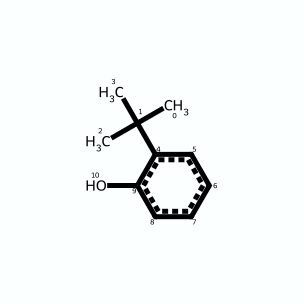 CC(C)(C)c1c[c]ccc1O